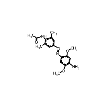 COc1cc(N=Nc2cc(C)c(NC(C)=O)c(C)c2)c(OC)cc1N